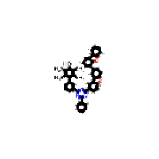 Bc1c(B)c(B)c(-c2cccc(-c3nc(-c4ccccc4)nc(-c4ccc5oc6ccc(-c7cccc8c7oc7ccccc78)cc6c5c4)n3)c2)c(B)c1B